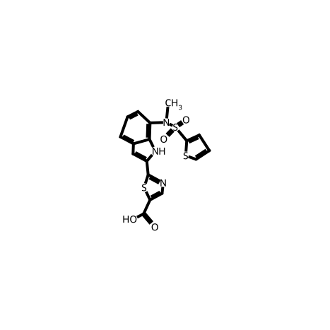 CN(c1cccc2cc(-c3ncc(C(=O)O)s3)[nH]c12)S(=O)(=O)c1cccs1